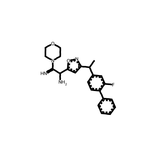 CC(c1ccc(-c2ccccc2)c(F)c1)c1cc(C(N)C(=N)N2CCOCC2)on1